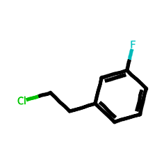 Fc1cccc(CCCl)c1